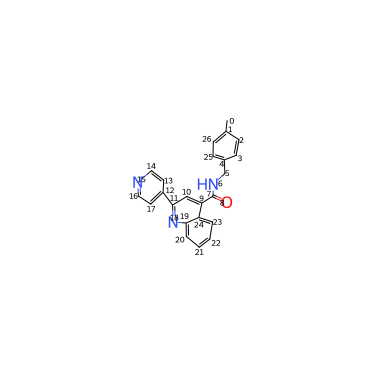 Cc1ccc(CNC(=O)c2cc(-c3ccncc3)nc3ccccc23)cc1